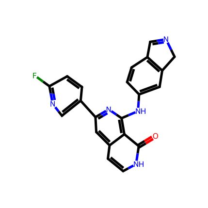 O=c1[nH]ccc2cc(-c3ccc(F)nc3)nc(Nc3ccc4c(c3)CN=C4)c12